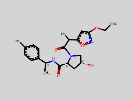 CC(C)C(C(=O)N1C[C@H](O)C[C@H]1C(=O)N[C@@H](C)c1ccc(C#N)cc1)c1cc(OCC=O)no1